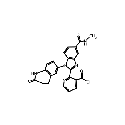 CNC(=O)c1ccc2c(c1)nc(-c1ncccc1C(=O)O)n2-c1ccc2c(c1)CCC(=O)N2